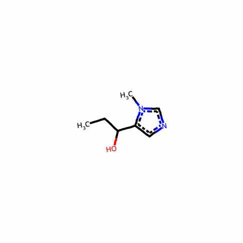 CCC(O)c1cncn1C